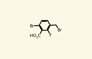 O=C(O)c1c(Br)ccc(CBr)c1F